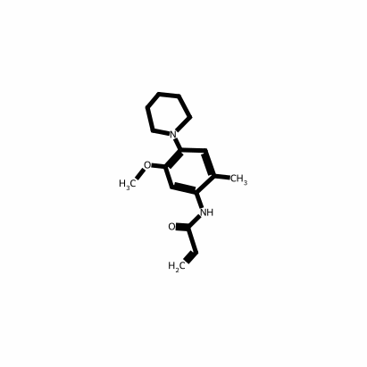 C=CC(=O)Nc1cc(OC)c(N2CCCCC2)cc1C